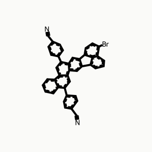 N#Cc1ccc(-c2cc3c4cc5c(cc4c(-c4ccc(C#N)cc4)cc3c3ccccc23)-c2ccc(Br)c3cccc-5c23)cc1